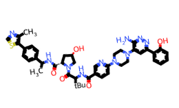 Cc1ncsc1-c1ccc(C(C)NC(=O)[C@@H]2C[C@@H](O)CN2C(=O)C(NC(=O)c2ccc(N3CCN(c4cc(-c5ccccc5O)nnc4N)CC3)nc2)C(C)(C)C)cc1